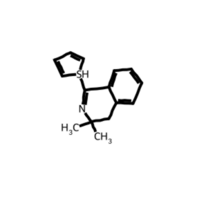 CC1(C)Cc2ccccc2C([SH]2C=CC=C2)=N1